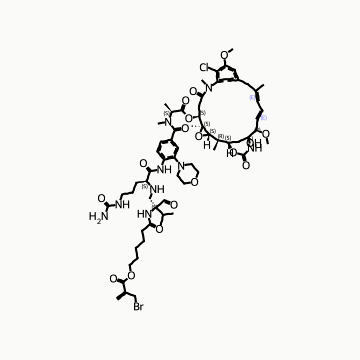 C=C(CBr)C(=O)OCCCCCC(=O)N[C@](C=O)(CN[C@@H](CCCNC(N)=O)C(=O)Nc1ccc(C(=O)N(C)[C@@H](C)C(=O)O[C@H]2CC(=O)N(C)c3cc(cc(OC)c3Cl)C/C(C)=C/C=C/[C@@H](OC)[C@@]3(O)C[C@H](OC(=O)N3)[C@@H](C)[C@@H]3O[C@@]23C)cc1N1CCOCC1)C(C)C